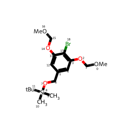 COCOc1cc(CO[Si](C)(C)C(C)(C)C)cc(OCOC)c1Br